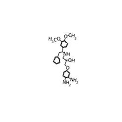 COc1ccc(C(Cc2ccccc2)NC[C@H](O)COc2ccc(N)c(N)c2)cc1OC